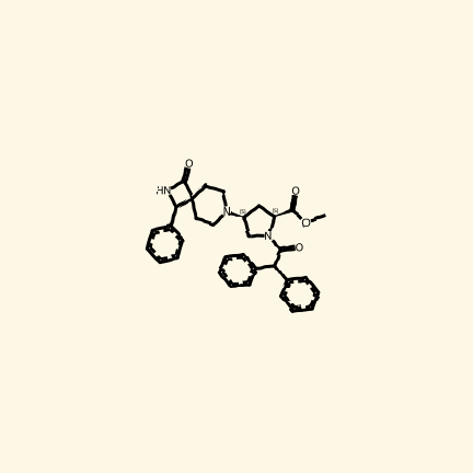 COC(=O)[C@@H]1C[C@H](N2CCC3(CC2)C(=O)NC3c2ccccc2)CN1C(=O)C(c1ccccc1)c1ccccc1